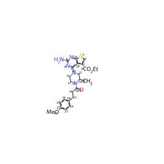 CCOC(=O)c1csc2nc(N)nc(N3CCN(C(=O)CCc4ccc(OC)cc4)C(C)C3)c12